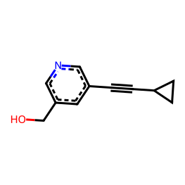 OCc1cncc(C#CC2CC2)c1